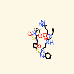 C#CCN(CC(=O)NCCCn1c(Sc2ccc(/C=C3\SC(=O)N(C(C)C)C3=O)o2)nc2ccccc21)C(=O)CCC1(C)N=N1